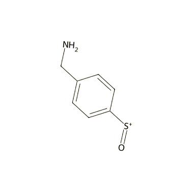 NCc1ccc([S+]=O)cc1